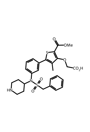 COC(=O)c1sc(-c2cccc(N(C3CCNCC3)S(=O)(=O)Cc3ccccc3)c2)c(C)c1OCC(=O)O